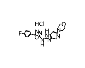 Cl.Fc1ccc(-c2nnc(Nc3nc4cnc(N5CCOCC5)cc4[nH]3)o2)cc1